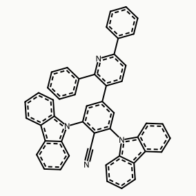 N#Cc1c(-n2c3ccccc3c3ccccc32)cc(-c2ccc(-c3ccccc3)nc2-c2ccccc2)cc1-n1c2ccccc2c2ccccc21